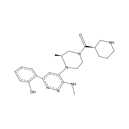 CNc1nnc(-c2ccccc2O)cc1N1CCN(C(=O)[C@@H]2CCCNC2)C[C@@H]1C